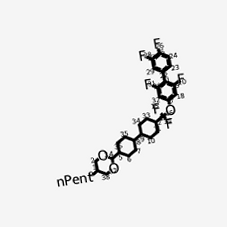 CCCCCC1COC(C2CCC(C3CCC(C(F)(F)Oc4cc(F)c(-c5ccc(F)c(F)c5)c(F)c4)CC3)CC2)OC1